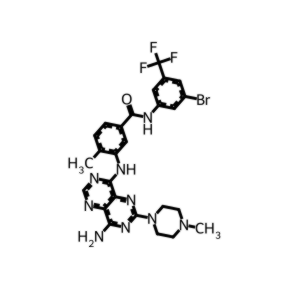 Cc1ccc(C(=O)Nc2cc(Br)cc(C(F)(F)F)c2)cc1Nc1ncnc2c(N)nc(N3CCN(C)CC3)nc12